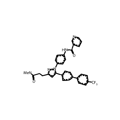 CNC(=O)CCc1cc(-c2ccc(-c3ccc(C(F)(F)F)cc3)cc2)n(-c2ccc(NC(=O)c3cccnc3)cc2)n1